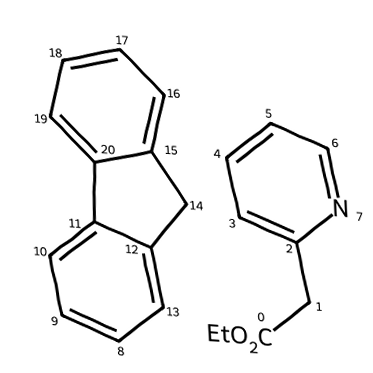 CCOC(=O)Cc1ccccn1.c1ccc2c(c1)Cc1ccccc1-2